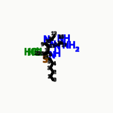 CCCCCc1nc(-c2cnc(C)n2NC(=N)N)cs1.Cl.Cl